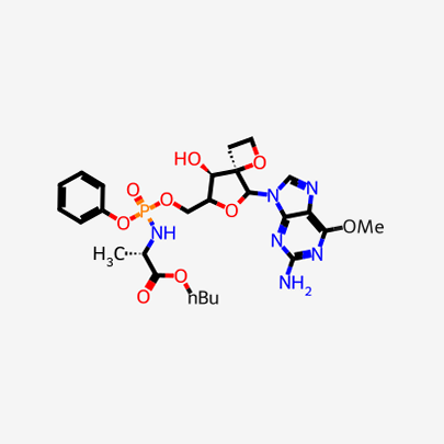 CCCCOC(=O)[C@H](C)NP(=O)(OCC1OC(n2cnc3c(OC)nc(N)nc32)[C@@]2(CCO2)[C@@H]1O)Oc1ccccc1